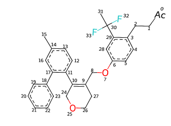 CC(=O)CCc1ccc(OCC2=C(c3ccc(C)cc3-c3ccccc3)COCC2)cc1C(C)(F)F